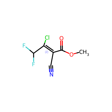 COC(=O)/C(C#N)=C(\Cl)C(F)F